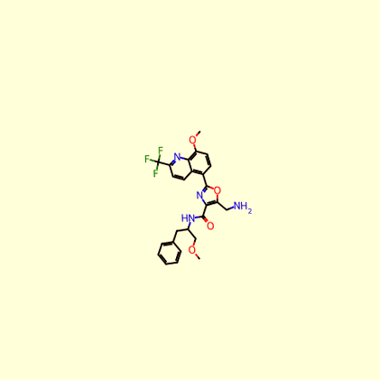 COCC(Cc1ccccc1)NC(=O)c1nc(-c2ccc(OC)c3nc(C(F)(F)F)ccc23)oc1CN